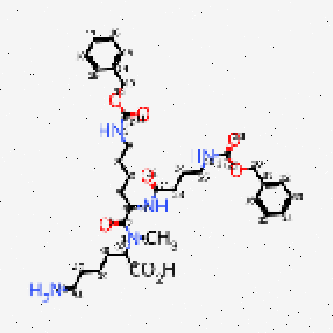 CN(C(=O)C(CCCCNC(=O)OCc1ccccc1)NC(=O)CCCNC(=O)OCc1ccccc1)C(CCCCN)C(=O)O